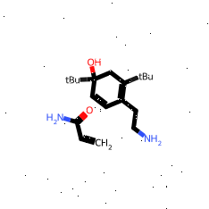 C=CC(N)=O.CC(C)(C)C1=C(CCN)C=CC(O)(C(C)(C)C)C1